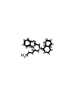 NCCCCN(Cc1nc2ccccc2[nH]1)C1CCCc2cccnc21